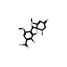 COC1=CC(=O)C[C@@H](C)[C@]12Oc1c(Cl)c(C(=O)O)cc(OC)c1C2=O